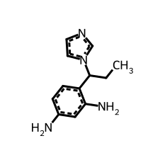 CCC(c1ccc(N)cc1N)n1ccnc1